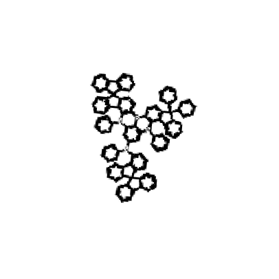 c1ccc(N(c2cc3c4c(c2)N(c2ccccc2)c2c(ccc5c2-c2ccccc2C52c5ccccc5-c5ccccc52)B4c2ccc4c(c2N3c2ccccc2)-c2ccccc2C4(c2ccccc2)c2ccccc2)c2cccc3c2-c2ccccc2C32c3ccccc3-c3ccccc32)cc1